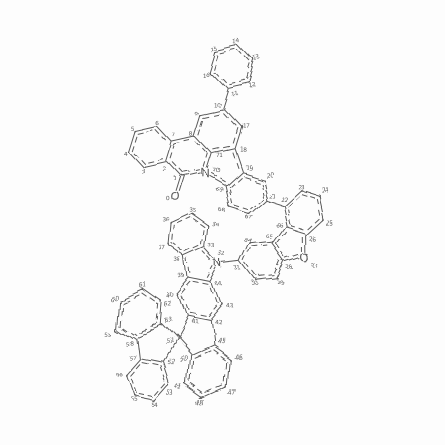 O=c1c2ccccc2c2cc(-c3ccccc3)cc3c4cc(-c5cccc6oc7ccc(-n8c9ccccc9c9cc%10c(cc98)-c8ccccc8C%108c9ccccc9-c9ccccc98)cc7c56)ccc4n1c23